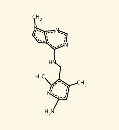 Cc1cc(N)nc(C)c1CNc1ncnc2c1ccn2C